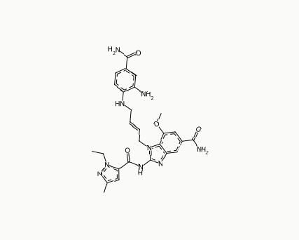 CCn1nc(C)cc1C(=O)Nc1nc2cc(C(N)=O)cc(OC)c2n1CC=CCNc1ccc(C(N)=O)cc1N